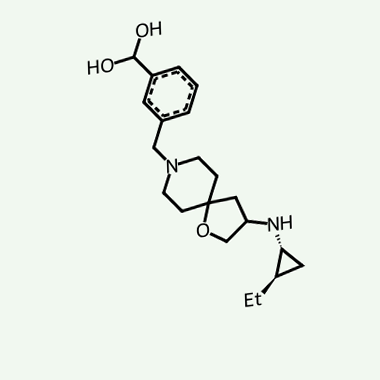 CC[C@@H]1C[C@H]1NC1COC2(CCN(Cc3cccc(C(O)O)c3)CC2)C1